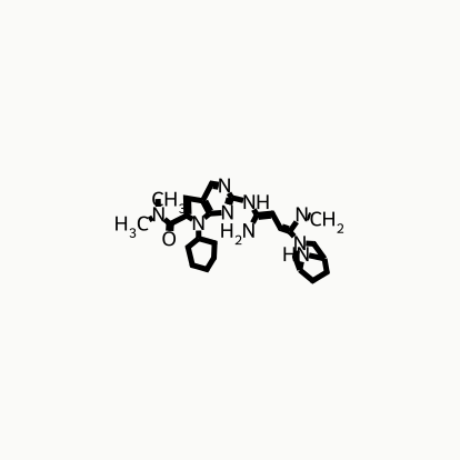 C=N/C(=C\C=C(/N)Nc1ncc2cc(C(=O)N(C)C)n(C3CCCCC3)c2n1)N1CC2CCC(C1)N2